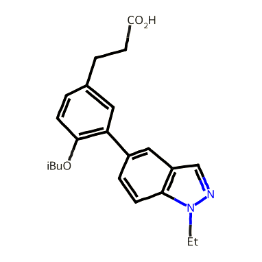 CCn1ncc2cc(-c3cc(CCC(=O)O)ccc3OCC(C)C)ccc21